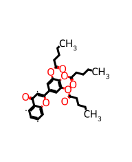 CCCCC(=O)Oc1cc(-c2[c]c(=O)c3[c]c[c]cc3o2)cc(OC(=O)CCCC)c1OC(=O)CCCC